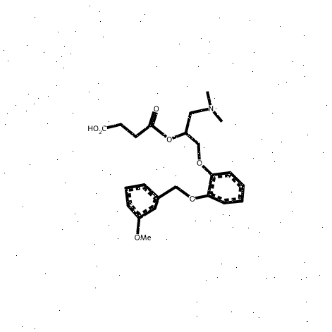 COc1cccc(COc2ccccc2OCC(CN(C)C)OC(=O)CCC(=O)O)c1